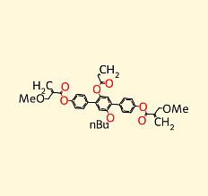 C=CC(=O)Oc1cc(-c2ccc(OC(=O)C(=C)COC)cc2)c(OCCCC)cc1-c1ccc(OC(=O)C(=C)COC)cc1